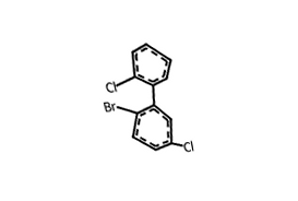 Clc1ccc(Br)c(-c2ccccc2Cl)c1